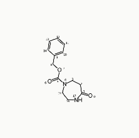 O=C1CCN(C(=O)OCc2ccccc2)CCN1